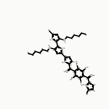 CCCCCCOc1cc(C)sc1-c1sc(-c2ccc(C(=O)c3c(F)c(F)c(C(=O)c4ccc(C)s4)c(F)c3F)s2)cc1OCCCCCC